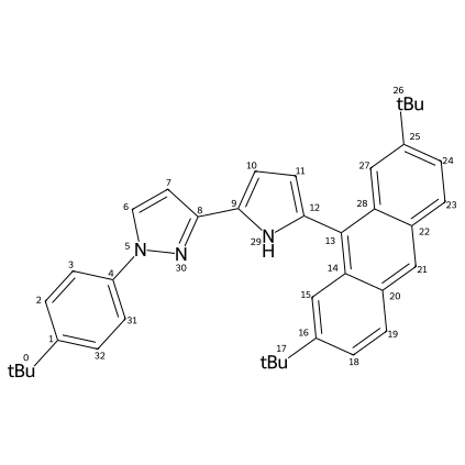 CC(C)(C)c1ccc(-n2ccc(-c3ccc(-c4c5cc(C(C)(C)C)ccc5cc5ccc(C(C)(C)C)cc45)[nH]3)n2)cc1